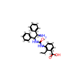 CCc1c(NC(=O)NC(c2ccccc2)C(N)c2ccccc2)cccc1C(=O)O